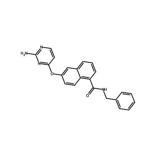 Nc1nccc(Oc2ccc3c(C(=O)NCc4ccccc4)cccc3c2)n1